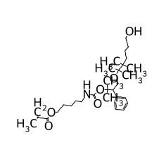 C=C(C)C(=O)OCCCCCNC(=O)OC(C)(C)C(COC(C)(C)C(C)(C)CCCCO)c1ccccc1